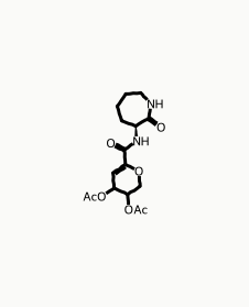 CC(=O)OC1C=C(C(=O)N[C@H]2CCCCNC2=O)OCC1OC(C)=O